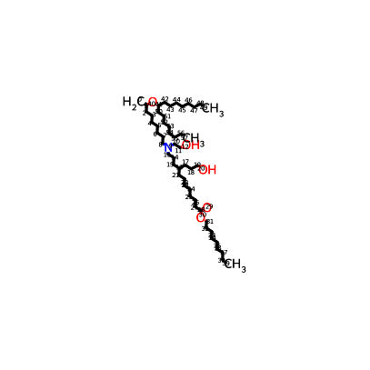 C=C(CCCCCCCN(CCO)CCCC(CCCO)CCCCCCCC(=O)OCCCCCCCCC)OC(CCCCCCCC)CCCCCCCC